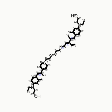 C=CC(=C\C=N\CCSSCC[n+]1ccc(/C(C)=C/c2ccc(N(CC)CCO)cc2C)cc1)/C(C)=C/c1ccc(N(CC)CCO)cc1C